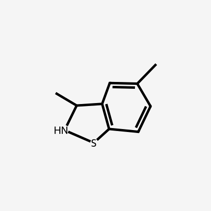 Cc1ccc2c(c1)C(C)NS2